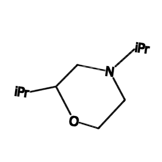 CC(C)C1CN(C(C)C)CCO1